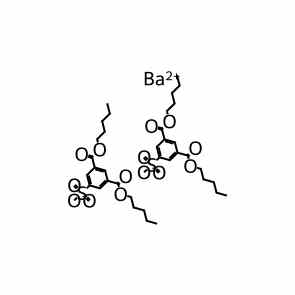 CCCCCOC(=O)c1cc(C(=O)OCCCCC)cc(S(=O)(=O)[O-])c1.CCCCCOC(=O)c1cc(C(=O)OCCCCC)cc(S(=O)(=O)[O-])c1.[Ba+2]